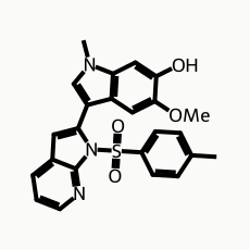 COc1cc2c(-c3cc4cccnc4n3S(=O)(=O)c3ccc(C)cc3)cn(C)c2cc1O